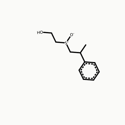 CC(C[S+]([O-])CCO)c1ccccc1